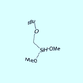 CO[SiH](COC(C)(C)C)OC